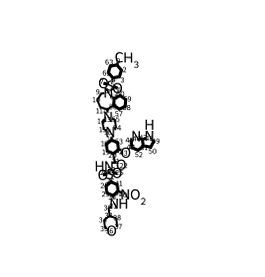 Cc1ccc(S(=O)(=O)N2CCCC(N3CCN(c4ccc(C(=O)NS(=O)(=O)c5ccc(NCC6CCOCC6)c([N+](=O)[O-])c5)c(Oc5cnc6[nH]ccc6c5)c4)CC3)c3ccccc32)cc1